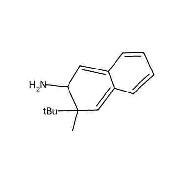 CC(C)(C)C1(C)C=c2ccccc2=CC1N